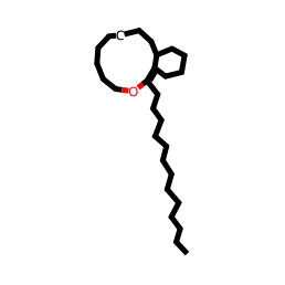 CCCCCCCCCCCCCC1=C2CCCCC2CCCCCCCCO1